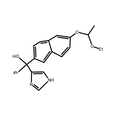 CCOC(C)Oc1ccc2cc(C(O)(c3c[nH]cn3)C(C)C)ccc2c1